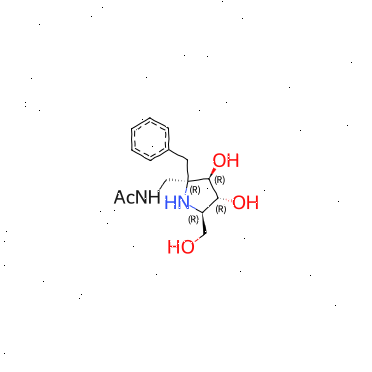 CC(=O)NC[C@@]1(Cc2ccccc2)N[C@H](CO)[C@@H](O)[C@@H]1O